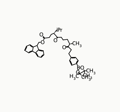 CC(C)[C@H](CCC(=O)OCC1c2ccccc2-c2ccccc21)C(=O)CCC[C@@H](C)C(=O)CCc1ccc(B2OC(C)(C)C(C)(C)O2)cc1